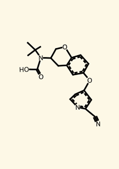 CC(C)(C)N(C(=O)O)C1COc2ccc(Oc3ccnc(C#N)c3)cc2C1